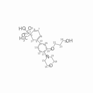 CC1(S(=O)(=O)O)C=CC=C(c2ccc(N3CCOCC3)c(OCCCO)c2)C1